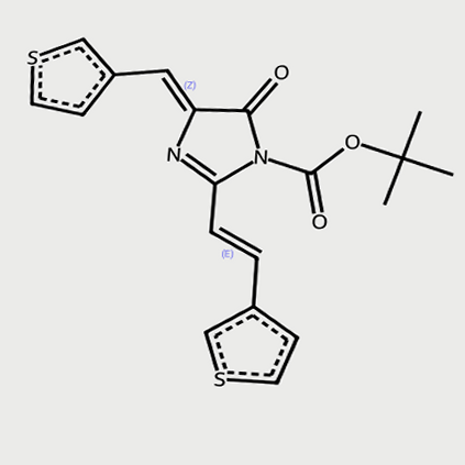 CC(C)(C)OC(=O)N1C(=O)/C(=C/c2ccsc2)N=C1/C=C/c1ccsc1